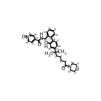 CC(C)(CCCCC(=O)N1CCOCC1)c1ccc(-c2ccccc2CNC(=O)c2cc[n+]([O-])cc2)c(O)c1